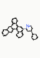 c1ccc(-c2ccnc(-c3cc4c5ccccc5c5cc6ccccc6cc5c4c4ccccc34)c2)cc1